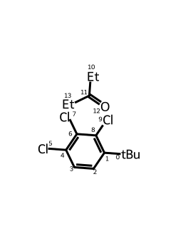 CC(C)(C)c1ccc(Cl)c(Cl)c1Cl.CCC(=O)CC